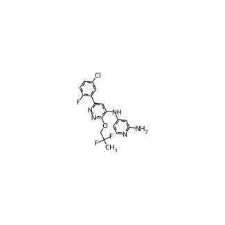 CC(F)(F)COc1nnc(-c2cc(Cl)ccc2F)cc1Nc1ccnc(N)c1